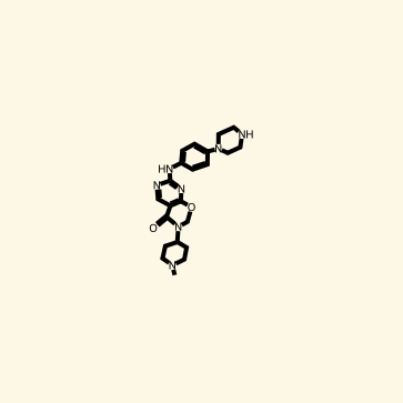 CN1CCC(N2COc3nc(Nc4ccc(N5CCNCC5)cc4)ncc3C2=O)CC1